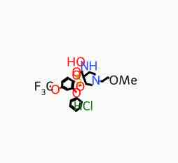 COCCN1CCC(C(=O)NO)(S(=O)(=O)c2ccc(OC(F)(F)F)cc2Oc2ccccc2)CC1.Cl